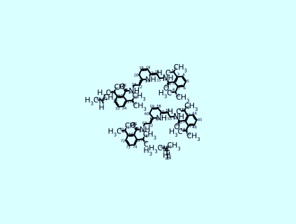 CC(C)c1cccc(C(C)C)c1C(=O)NCC=C1C=CCC(=CCNC(=O)c2c(C(C)C)cccc2C(C)C)N1.CC(C)c1cccc(C(C)C)c1C(=O)NCC=C1C=CCC(=CCNC(=O)c2c(C(C)C)cccc2C(C)C)N1.CNC.CNC.[Ti].[Ti]